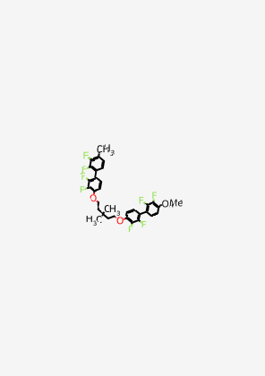 COc1ccc(-c2ccc(OCCC(C)(C)CCOc3ccc(-c4ccc(C)c(F)c4F)c(F)c3F)c(F)c2F)c(F)c1F